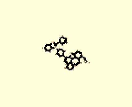 C=Cc1ccc2oc3c(-c4ccc(-n5c(-c6ccccn6)nc6ccccc65)cc4)cc4ccccc4c3c2c1/C=C\C